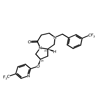 O=C1CCN(Cc2cccc(C(F)(F)F)c2)C[C@@H]2C[C@@H](Oc3ccc(C(F)(F)F)cn3)CN12